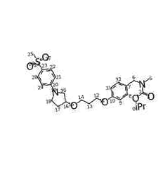 CC(C)OC(=O)N(C)Cc1ccc(OCCCOC2CCN(c3ccc(S(C)(=O)=O)cc3)C2)cc1